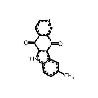 Cc1ccc2[nH]c3c(c2c1)C(=O)c1cnccc1C3=O